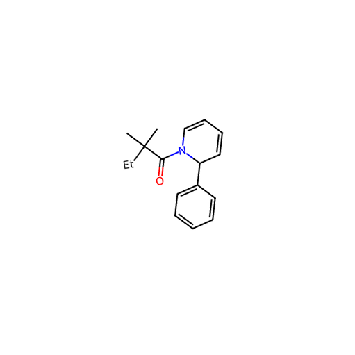 CCC(C)(C)C(=O)N1C=CC=CC1c1ccccc1